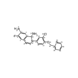 Nc1cc2c(cc1F)N=CN(c1ccc(OCc3ccccn3)c(Cl)c1)C2N